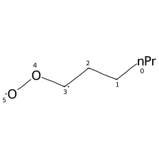 CCCCC[CH]O[O]